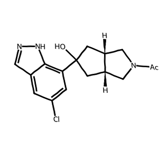 CC(=O)N1C[C@@H]2CC(O)(c3cc(Cl)cc4cn[nH]c34)C[C@@H]2C1